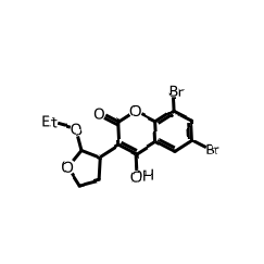 CCOC1OCCC1c1c(O)c2cc(Br)cc(Br)c2oc1=O